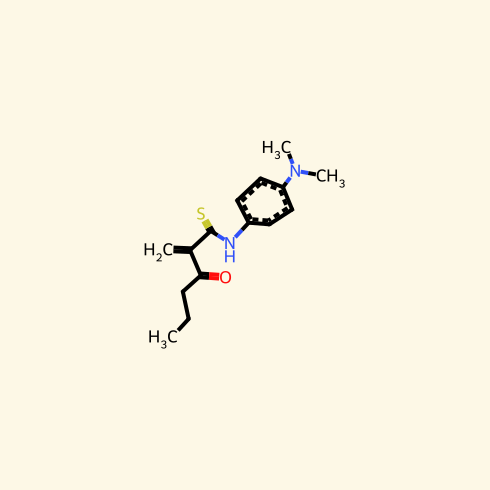 C=C(C(=O)CCC)C(=S)Nc1ccc(N(C)C)cc1